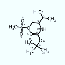 CC(C)C(COS(C)(=O)=O)NC(=O)OC(C)(C)C